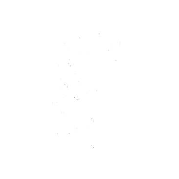 N#Cc1ncc(N2C(=O)C3C4CC(CN4C(=O)C(F)(F)C(F)(F)C(F)(F)C(F)(F)F)N3C2=O)c2ccccc12